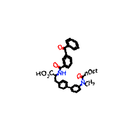 CCCCCCCCC(=O)N(C)c1cccc(-c2ccc(C[C@H](NC(=O)c3cccc(C(=O)c4ccccc4)c3)C(=O)O)cc2)c1